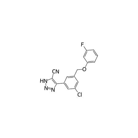 N#Cc1[nH]nnc1-c1cc(Cl)cc(COc2cccc(F)c2)c1